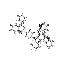 c1ccc(-c2nc(-c3ccc(-n4c5ccccc5c5c6c7ccccc7sc6c6c7cccnc7sc6c54)cc3)nc3ccccc23)cc1